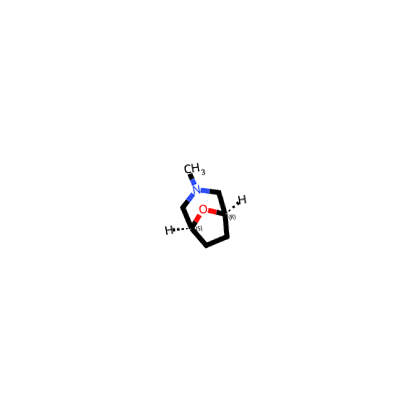 CN1C[C@H]2CC[C@@H](C1)O2